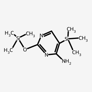 C[Si](C)(C)Oc1ncc([Si](C)(C)C)c(N)n1